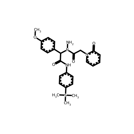 COc1ccc(C(C(=O)Nc2ccc(S(C)(C)C)cc2)N(N)C(=O)Cn2ccccc2=O)cc1